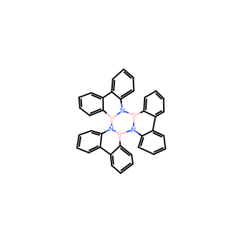 c1ccc2c(c1)B1N(B3c4ccccc4-c4ccccc4N3B3c4ccccc4-c4ccccc4N13)c1ccccc1-2